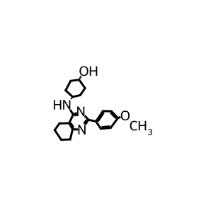 COc1ccc(-c2nc3c(c(N[C@H]4CC[C@H](O)CC4)n2)CCCC3)cc1